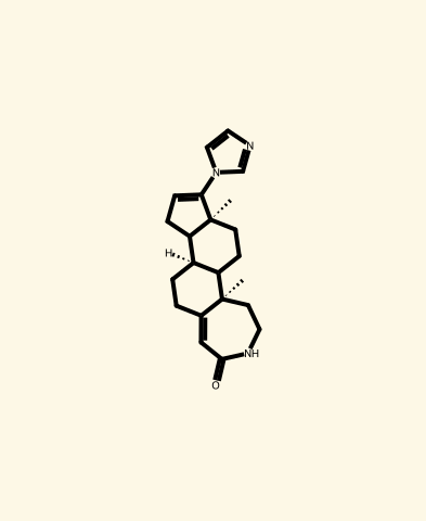 C[C@]12CCNC(=O)C=C1CC[C@@H]1C2CC[C@]2(C)C(n3ccnc3)=CCC12